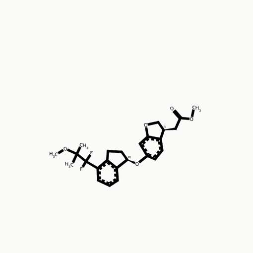 COC(=O)C[C@@H]1COc2cc(O[C@@H]3CCc4c3cccc4C(F)(F)C(C)(C)OC)ccc21